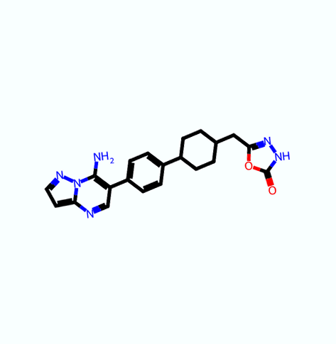 Nc1c(-c2ccc(C3CCC(Cc4n[nH]c(=O)o4)CC3)cc2)cnc2ccnn12